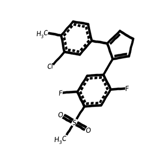 Cc1ccc(C2=CCC=C2c2cc(F)c(S(C)(=O)=O)cc2F)cc1Cl